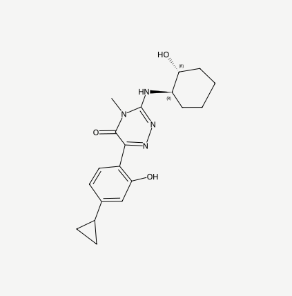 Cn1c(N[C@@H]2CCCC[C@H]2O)nnc(-c2ccc(C3CC3)cc2O)c1=O